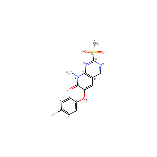 Cn1c(=O)c(Oc2ccc(F)cc2)cc2cnc(S(C)(=O)=O)nc21